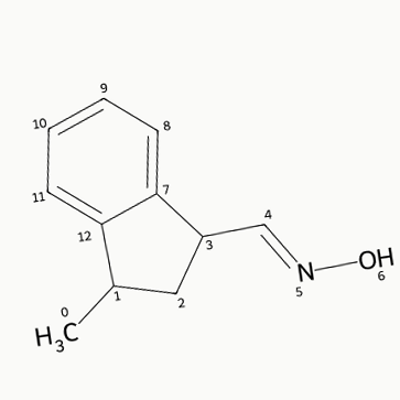 CC1CC(C=NO)c2ccccc21